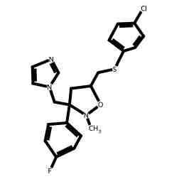 CN1OC(CSc2ccc(Cl)cc2)CC1(Cn1ccnc1)c1ccc(F)cc1